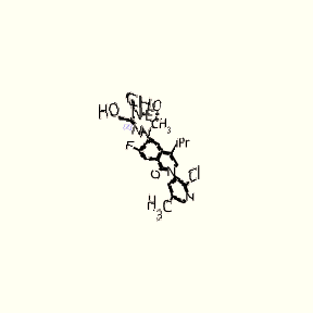 CCN(C=O)/C(CO)=N\N(C)c1cc2c(C(C)C)cn(-c3cc(C)cnc3Cl)c(=O)c2cc1F